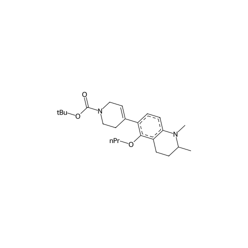 CCCOc1c(C2=CCN(C(=O)OC(C)(C)C)CC2)ccc2c1CCC(C)N2C